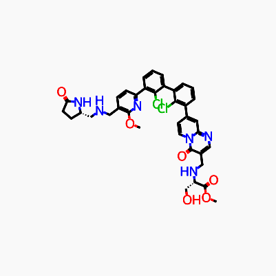 COC(=O)[C@H](CO)NCc1cnc2cc(-c3cccc(-c4cccc(-c5ccc(CNC[C@@H]6CCC(=O)N6)c(OC)n5)c4Cl)c3Cl)ccn2c1=O